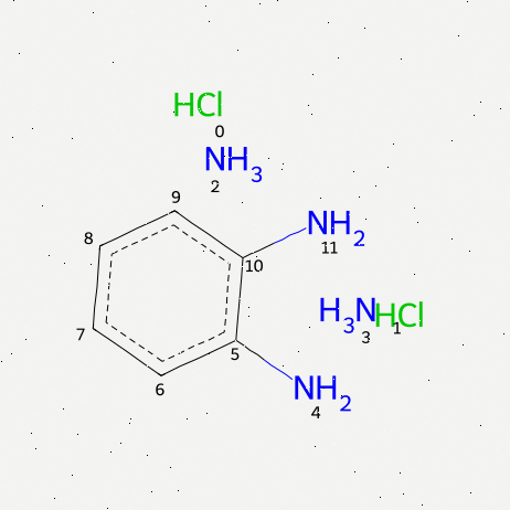 Cl.Cl.N.N.Nc1ccccc1N